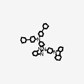 c1ccc(-c2ccc(N(c3ccc(-c4ccccc4)cc3)c3ccc4c(c3)n3c5ccccc5nc3n4-c3ccc(-n4c5ccccc5c5ccccc54)cc3)cc2)cc1